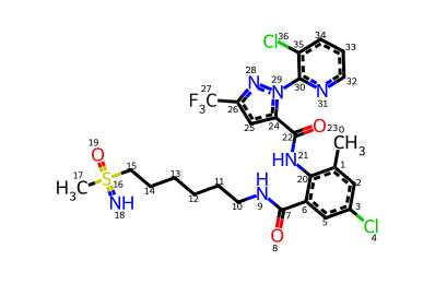 Cc1cc(Cl)cc(C(=O)NCCCCCCS(C)(=N)=O)c1NC(=O)c1cc(C(F)(F)F)nn1-c1ncccc1Cl